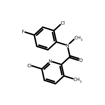 Cc1ccc(Cl)nc1C(=O)N(C)c1ccc(F)cc1Cl